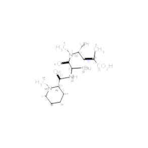 C/C(=C\[C@H](C(C)C)N(C)C(=O)C(NC(=O)[C@H]1CCCCN1C)C(C)(C)C)C(=O)O